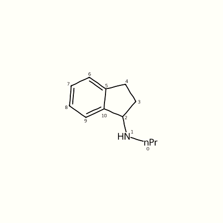 CCCNC1CCc2ccccc21